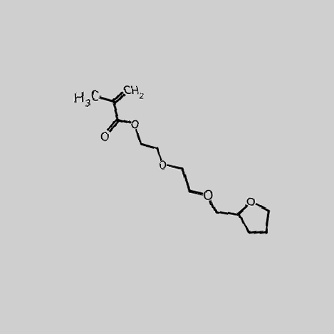 C=C(C)C(=O)OCCOCCOCC1CCCO1